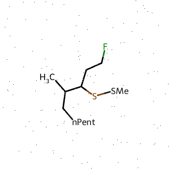 CCCCCCC(C)C(CCF)SSC